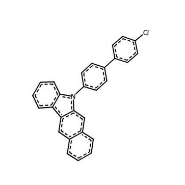 Clc1ccc(-c2ccc(-n3c4ccccc4c4cc5ccccc5cc43)cc2)cc1